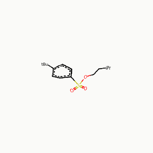 CC(C)CCOS(=O)(=O)c1ccc(C(C)(C)C)cc1